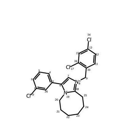 Clc1cccc(-c2c[n+](Cc3ccc(Cl)cc3Cl)c3n2CCCCCC3)c1